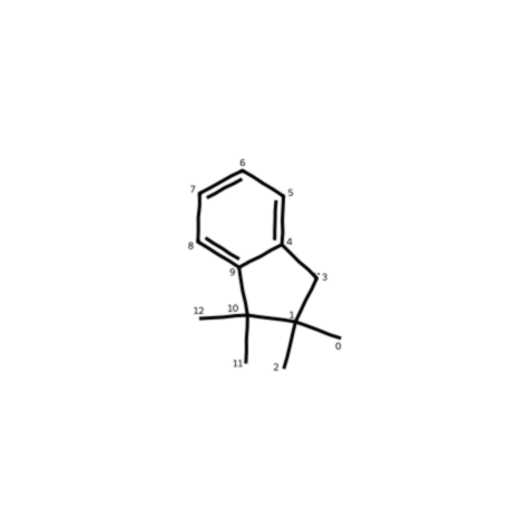 CC1(C)[C]c2ccccc2C1(C)C